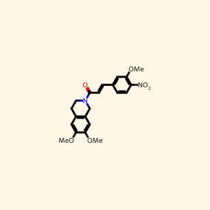 COc1cc2c(cc1OC)CN(C(=O)C=Cc1ccc([N+](=O)[O-])c(OC)c1)CC2